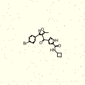 Cc1onc(-c2ccc(Br)cc2)c1C(=O)c1c[nH]c(C(=O)NC2CCC2)c1